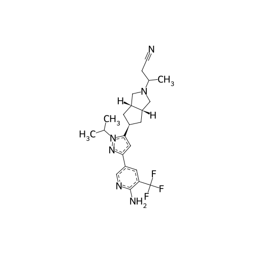 CC(CC#N)N1C[C@H]2C[C@H](c3cc(-c4cnc(N)c(C(F)(F)F)c4)nn3C(C)C)C[C@H]2C1